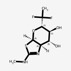 CNC1=N[C@@H]2[C@@H](O)[C@H](O)[C@@H](C(C)(F)F)O[C@@H]2S1